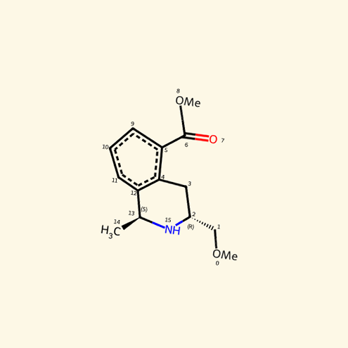 COC[C@H]1Cc2c(C(=O)OC)cccc2[C@H](C)N1